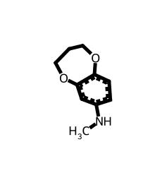 CNc1ccc2c(c1)OCCCO2